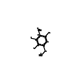 Cc1cc(CO)c(C)c(C)c1C(C)(C)C